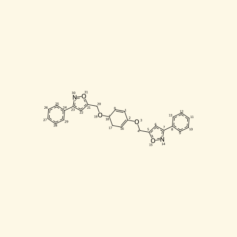 C1=CC(OCc2cc(-c3ccccc3)no2)=CC[C]1OCc1cc(-c2ccccc2)no1